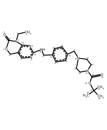 CCN1C(=O)OCc2cnc(NCc3ccc(CN4CCN(C(=O)OC(C)(C)C)CC4)cc3)nc21